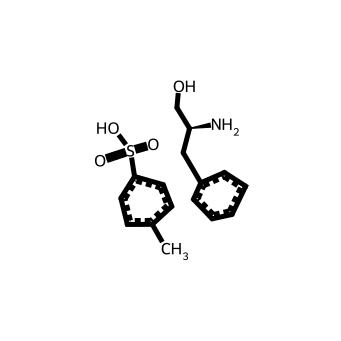 Cc1ccc(S(=O)(=O)O)cc1.N[C@H](CO)Cc1ccccc1